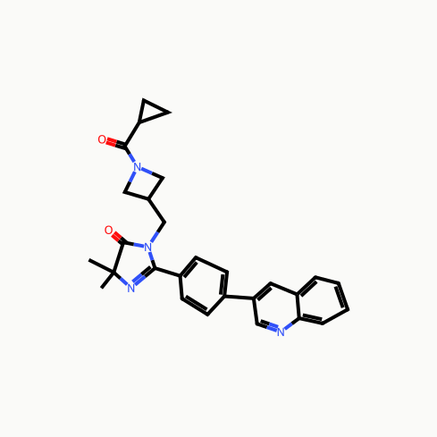 CC1(C)N=C(c2ccc(-c3cnc4ccccc4c3)cc2)N(CC2CN(C(=O)C3CC3)C2)C1=O